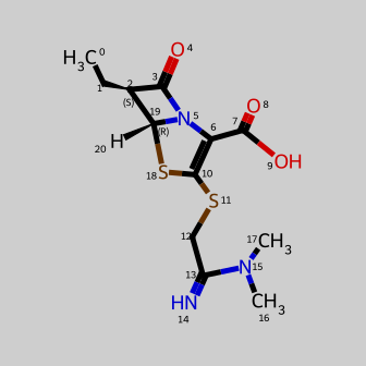 CC[C@H]1C(=O)N2C(C(=O)O)=C(SCC(=N)N(C)C)S[C@H]12